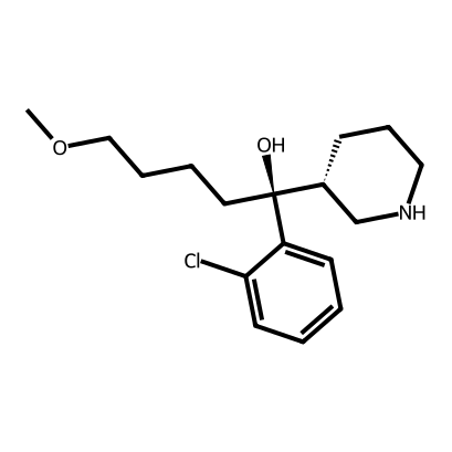 COCCCC[C@@](O)(c1ccccc1Cl)[C@@H]1CCCNC1